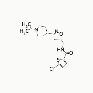 CC(C)N1CCC(C2=NOC(CNC(=O)c3ccc(Cl)s3)C2)CC1